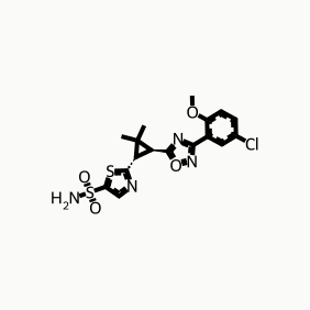 COc1ccc(Cl)cc1-c1noc([C@H]2[C@H](c3ncc(S(N)(=O)=O)s3)C2(C)C)n1